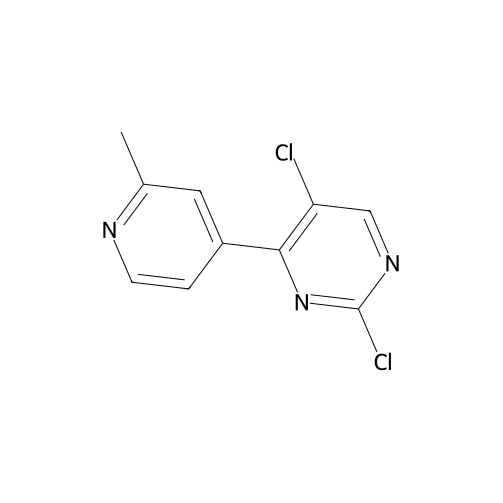 Cc1cc(-c2nc(Cl)ncc2Cl)ccn1